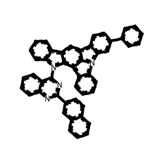 c1ccc(-c2ccc3c4cc5c6ccccc6n(-c6nc(-c7ccc8ccccc8c7)nc7ccccc67)c5c5c6ccccc6n(c3c2)c45)cc1